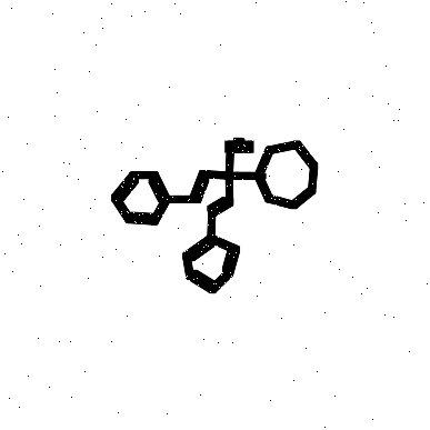 [CH2]CCCC(C=Cc1ccccc1)(C=Cc1ccccc1)[C]1CCCCCC1